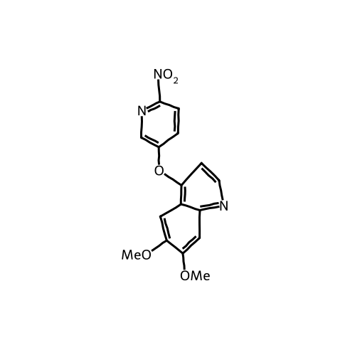 COc1cc2nccc(Oc3ccc([N+](=O)[O-])nc3)c2cc1OC